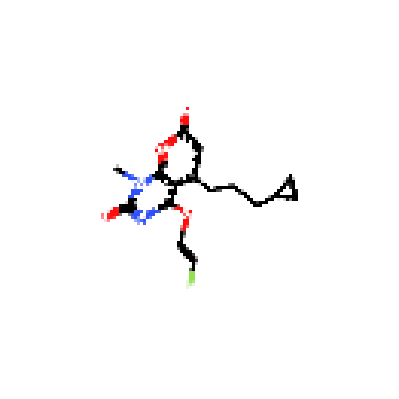 Cn1c(=O)nc(OCCF)c2c(CCCC3CC3)cc(=O)oc21